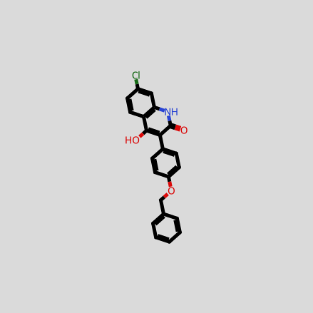 O=c1[nH]c2cc(Cl)ccc2c(O)c1-c1ccc(OCc2ccccc2)cc1